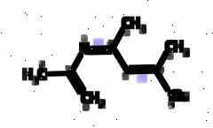 C=C(C)/N=C(C)\C=C(/C)C(C)(C)C